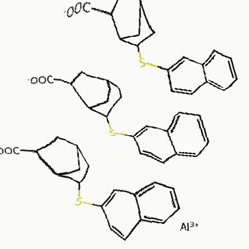 O=C([O-])C1CC2CC(Sc3ccc4ccccc4c3)C1C2.O=C([O-])C1CC2CC(Sc3ccc4ccccc4c3)C1C2.O=C([O-])C1CC2CC(Sc3ccc4ccccc4c3)C1C2.[Al+3]